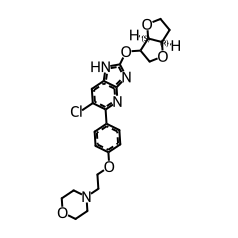 Clc1cc2[nH]c(OC3CO[C@@H]4CCO[C@H]34)nc2nc1-c1ccc(OCCN2CCOCC2)cc1